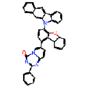 O=c1nc(-c2ccccc2)nc2ccc(-c3ccc(-n4c5ccccc5c5cc6ccccc6cc54)c4c3C3C=CC=CC3O4)cn12